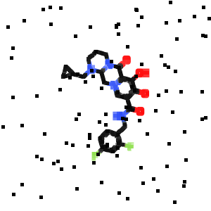 O=C(NCc1ccc(F)cc1F)c1cn2c(c(O)c1=O)C(=O)N1CCCN(CC3CC3)C1C2